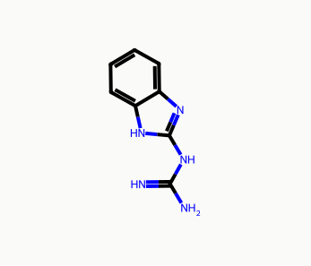 N=C(N)Nc1nc2ccccc2[nH]1